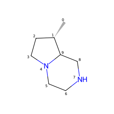 C[C@H]1CCN2CCNCC12